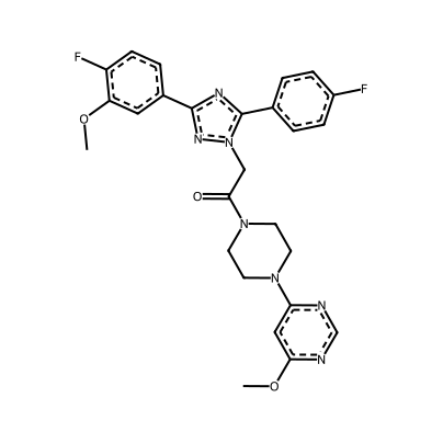 COc1cc(N2CCN(C(=O)Cn3nc(-c4ccc(F)c(OC)c4)nc3-c3ccc(F)cc3)CC2)ncn1